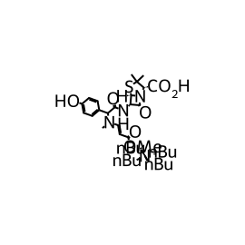 CCCC[N+](CCCC)(CCCC)CCCC.COC(=O)C=CN(C)C(C(=O)N[C@@H]1C(=O)N2[C@@H]1SC(C)(C)[C@@H]2C(=O)O)c1ccc(O)cc1